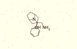 NCC1(O)CC2CCC(C1)N2Cc1ccccc1